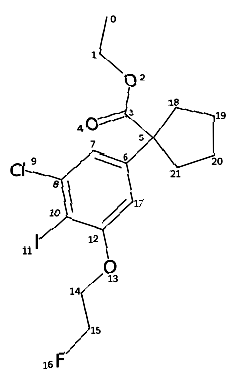 CCOC(=O)C1(c2cc(Cl)c(I)c(OCCF)c2)CCCC1